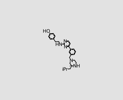 CC(C)C[C@H]1CN(Cc2cccc(-c3ccnc(NCCc4ccc(O)cc4)n3)c2)CCN1